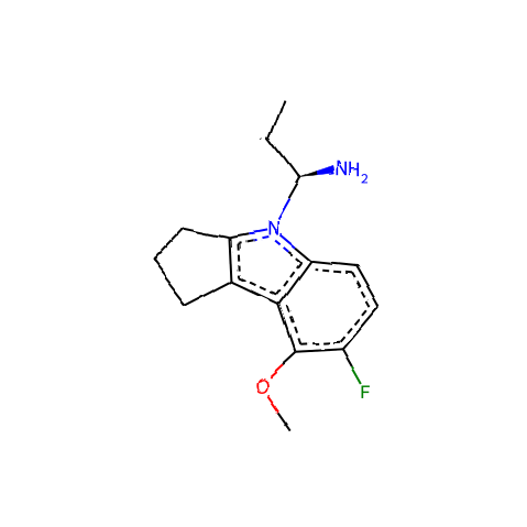 C[CH][C@@H](N)n1c2c(c3c(OC)c(F)ccc31)CCC2